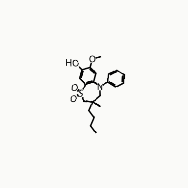 CCCCC1(C)CN(c2ccccc2)c2cc(OC)c(O)cc2S(=O)(=O)C1